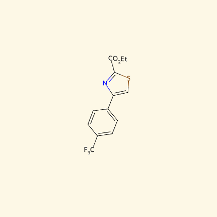 CCOC(=O)c1nc(-c2ccc(C(F)(F)F)cc2)cs1